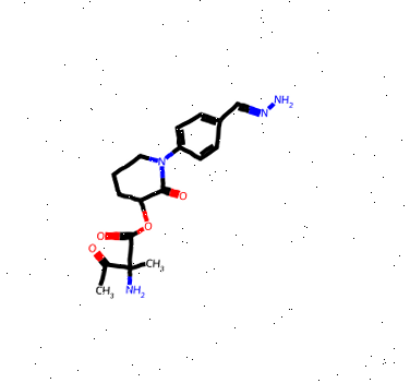 CC(=O)C(C)(N)C(=O)OC1CCCN(c2ccc(C=NN)cc2)C1=O